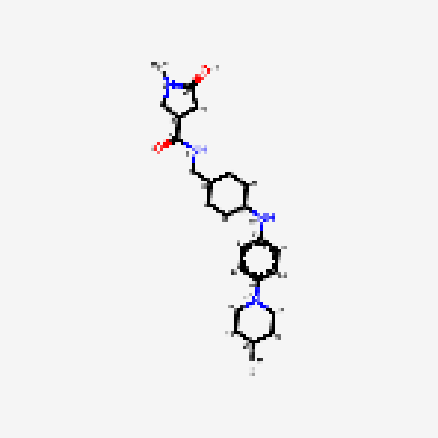 CCN1CC(C(=O)NCC2CCC(Nc3ccc(N4CCC(C(F)(F)F)CC4)cc3)CC2)CC1=O